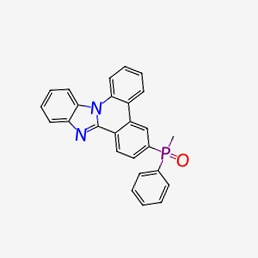 CP(=O)(c1ccccc1)c1ccc2c(c1)c1ccccc1n1c3ccccc3nc21